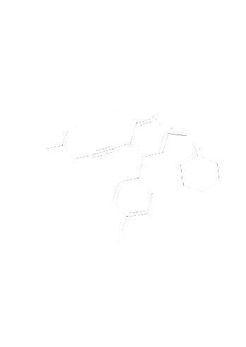 Cc1ccc(-c2c(C#CCC(C)C(=O)O)c(C)nc3sc4c(c23)CCCC4)cc1